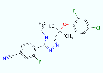 CCn1c(-c2ccc(C#N)cc2F)nnc1C(C)(C)Oc1ccc(Cl)cc1F